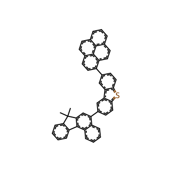 CC1(C)c2ccccc2-c2c1cc(-c1ccc3sc4ccc(-c5ccc6ccc7cccc8ccc5c6c78)cc4c3c1)c1ccccc21